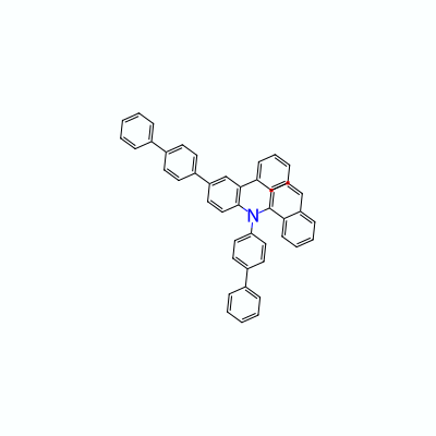 c1ccc(-c2ccc(-c3ccc(N(c4ccc(-c5ccccc5)cc4)c4cccc5ccccc45)c(-c4ccccc4)c3)cc2)cc1